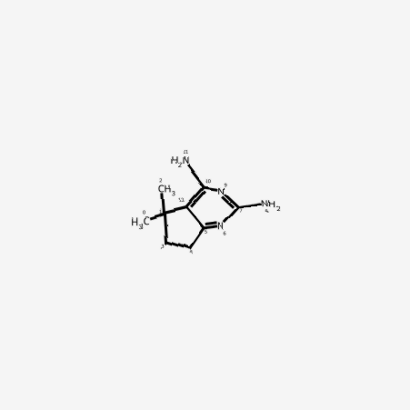 CC1(C)CCc2nc(N)nc(N)c21